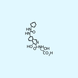 O=C(Nc1ccccc1)Nc1ccc2c(O)c(C(=O)NCC(O)C(=O)O)ncc2c1